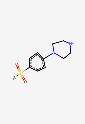 O=S(=O)(c1ccc(N2CCNCC2)cc1)C(F)(F)F